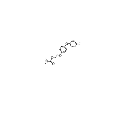 CN(C)C(=O)OCCOc1ccc(Oc2ccc(F)cc2)cc1